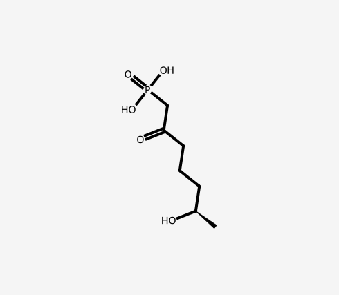 C[C@@H](O)CCCC(=O)CP(=O)(O)O